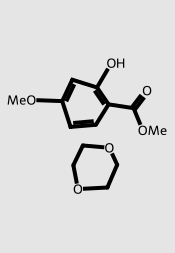 C1COCCO1.COC(=O)c1ccc(OC)cc1O